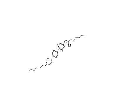 CCCCCCC[C@H]1CC[C@H](c2ccc(-c3ncc(OC(=O)CCCCCC)cn3)cc2)CC1